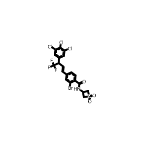 O=C(NC1CS(=O)(=O)C1)c1ccc(/C=C/C(c2cc(Cl)c(Cl)c(Cl)c2)C(F)(F)F)cc1Br